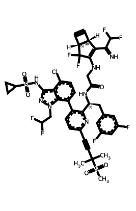 CC(C)(C#Cc1ccc(-c2ccc(Cl)c3c(NS(=O)(=O)C4CC4)nn(CC(F)F)c23)c([C@H](Cc2cc(F)cc(F)c2)NC(=O)CNC2=C(C(=N)C(F)F)[C@H]3C#C[C@H]3C2(F)F)n1)S(C)(=O)=O